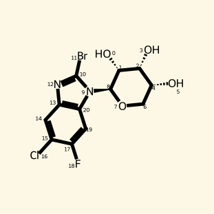 O[C@@H]1[C@H](O)[C@H](O)CO[C@H]1n1c(Br)nc2cc(Cl)c(F)cc21